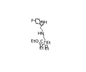 CCOC(=O)[C@@](CC)(CCCNCCc1c[nH]c2ccc(F)cc12)C(OCC)OCC